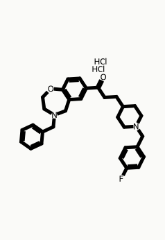 Cl.Cl.O=C(CCC1CCN(Cc2ccc(F)cc2)CC1)c1ccc2c(c1)CN(Cc1ccccc1)CCO2